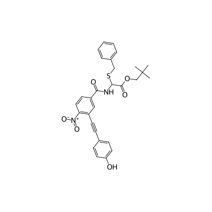 CC(C)(C)COC(=O)C(NC(=O)c1ccc([N+](=O)[O-])c(C#Cc2ccc(O)cc2)c1)SCc1ccccc1